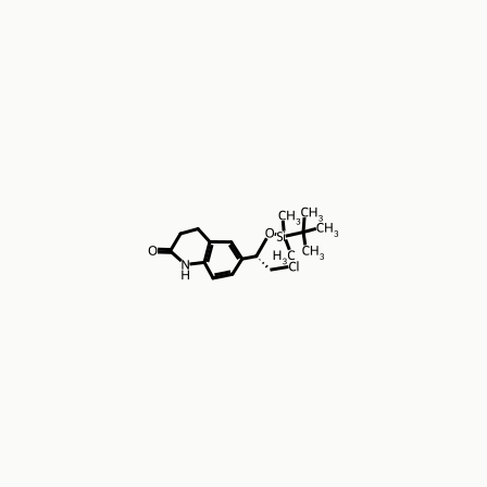 CC(C)(C)[Si](C)(C)O[C@H](CCl)c1ccc2c(c1)CCC(=O)N2